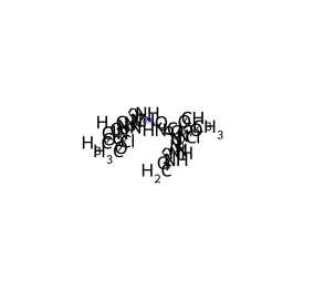 C=CC(=O)Nc1ccccc1Nc1ncc2c(n1)N(Cc1cccc(NC(=O)CC/C=C/C(=O)Nc3ccccc3Nc3ncc4c(n3)N(C)C(=O)N(c3c(Cl)c(OC)cc(OC)c3Cl)C4)c1)C(=O)N(c1c(Cl)c(OC)cc(OC)c1Cl)C2